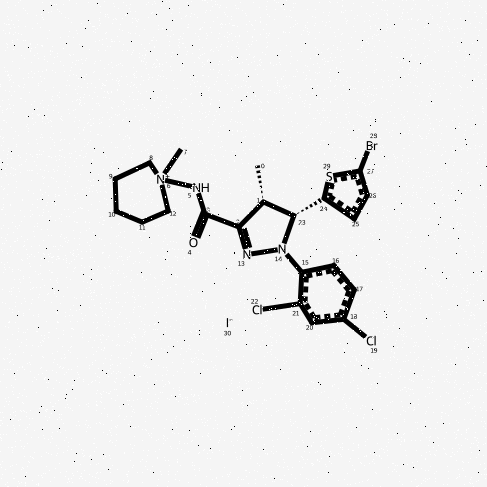 C[C@H]1C(C(=O)N[N+]2(C)CCCCC2)=NN(c2ccc(Cl)cc2Cl)[C@H]1c1ccc(Br)s1.[I-]